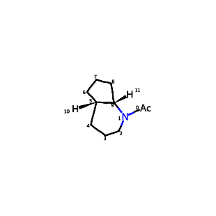 CC(=O)N1CCC[C@@H]2CCC[C@@H]21